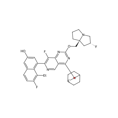 CCc1c(F)ccc2cc(O)cc(-c3ncc4c(N5CC6CCC(CC6)C5)nc(OC[C@@]56CCCN5C[C@H](F)C6)nc4c3F)c12